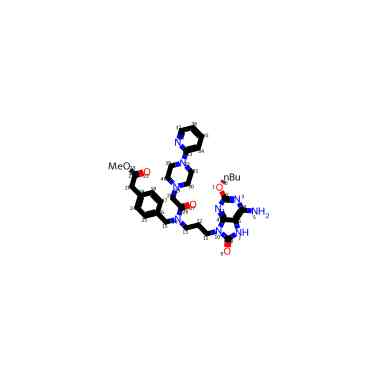 CCCCOc1nc(N)c2[nH]c(=O)n(CCCN(Cc3ccc(CC(=O)OC)cc3)C(=O)CN3CCN(c4ccccn4)CC3)c2n1